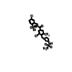 CCS(=O)(=O)c1ccc(Cl)cc1CNC(=O)c1cc(Cl)c(CN2CC[C@@H](NS(C)(=O)=O)C2)c(C(F)(F)F)c1